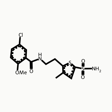 COc1ccc(Cl)cc1C(=O)NCCc1sc(S(N)(=O)=O)cc1C